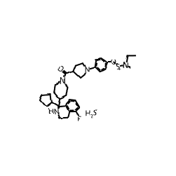 CCN(C)SOc1ccc(N2CCC(C(=O)N3CCC(C4(C5CCCC5)NCCc5c(F)cccc54)CC3)CC2)cc1.S